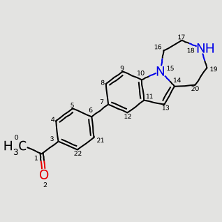 CC(=O)c1ccc(-c2ccc3c(c2)cc2n3CCNCC2)cc1